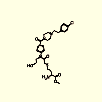 COC(=O)C(N)CCSCC(=O)N(CCO)c1ccc(C(=O)N2CCN(CCc3ccc(Cl)cc3)CC2)cc1